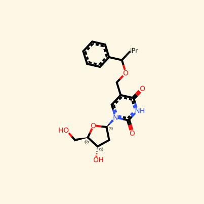 CC(C)C(OCc1cn([C@H]2C[C@H](O)[C@@H](CO)O2)c(=O)[nH]c1=O)c1ccccc1